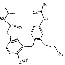 COc1ccc(CC(=O)NN(C)C)cc1Cc1ccc(NC(=O)C(C)(C)C)cc1CSC(C)(C)C